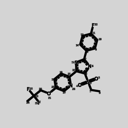 CCS(=O)(=O)c1nc(-c2ccc(F)cc2)sc1-c1ccc(OCC(C)(F)F)cn1